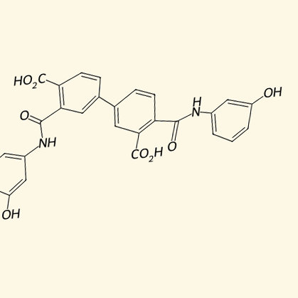 O=C(O)c1cc(-c2ccc(C(=O)O)c(C(=O)Nc3cccc(O)c3)c2)ccc1C(=O)Nc1cccc(O)c1